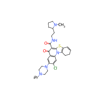 CC(C)N1CCN(c2cc3c(=O)c(C(=O)NCCC4CCCN4C)c4sc5c(n4c3cc2Cl)CCC=C5)CC1